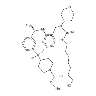 C[C@@H](Nc1ncnc2c1CN(C1CCOCC1)C(=O)N2CCCCCCCO)c1cccc(C(F)(F)C2CCN(C(=O)OC(C)(C)C)CC2)c1